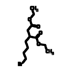 CCOC(=O)CC(CCCCBr)C(=O)OCC